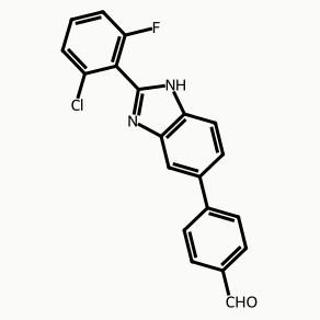 O=Cc1ccc(-c2ccc3[nH]c(-c4c(F)cccc4Cl)nc3c2)cc1